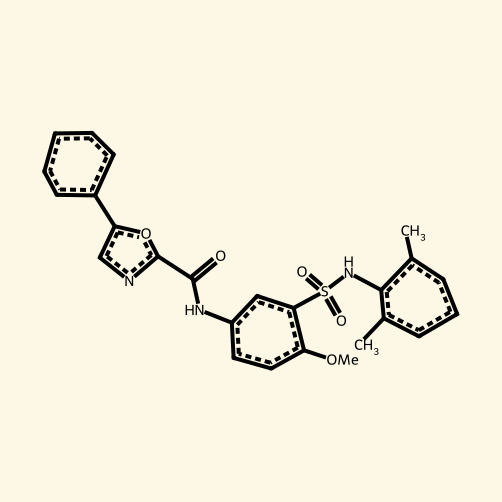 COc1ccc(NC(=O)c2ncc(-c3ccccc3)o2)cc1S(=O)(=O)Nc1c(C)cccc1C